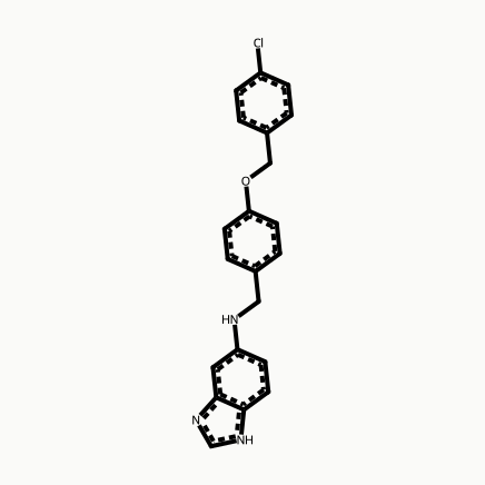 Clc1ccc(COc2ccc(CNc3ccc4[nH]cnc4c3)cc2)cc1